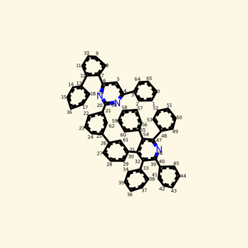 c1ccc(-c2cc(-c3ccccc3-c3ccccc3)nc(-c3cccc(-c4cccc(-c5c(-c6ccccc6)c(-c6ccccc6)nc(-c6ccccc6)c5-c5ccccc5)c4)c3)n2)cc1